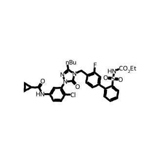 CCCCc1nn(-c2cc(NC(=O)C3CC3)ccc2Cl)c(=O)n1Cc1ccc(-c2ccccc2S(=O)(=O)NC(=O)OCC)cc1F